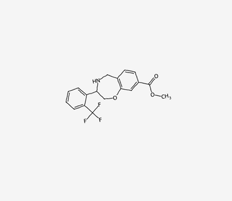 COC(=O)c1ccc2c(c1)OCC(c1ccccc1C(F)(F)F)NC2